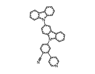 N#Cc1ccc(-n2c3ccccc3c3cc(-n4c5ccccc5c5ccccc54)ccc32)cc1-c1ccncc1